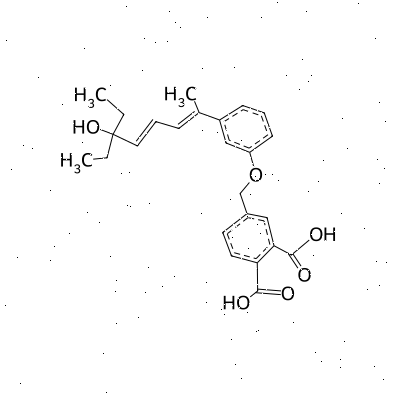 CCC(O)(C=CC=C(C)c1cccc(OCc2ccc(C(=O)O)c(C(=O)O)c2)c1)CC